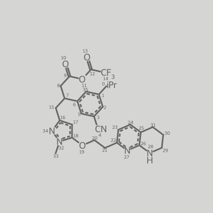 CC(C)c1cc(C#N)cc(C(CC(=O)OC(=O)C(F)(F)F)Cc2cc(OCCc3ccc4c(n3)NCCC4)n(C)n2)c1